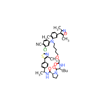 Cc1ccc(-c2c(C)noc2C)cc1N(CCCCCOCC(=O)N[C@H](C(=O)N1CCC[C@H]1C(=O)N[C@@H](C)c1ccc(-c2scnc2C)cc1)C(C)(C)C)c1ccc(C#N)c(Cl)c1